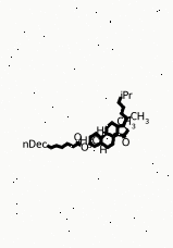 CCCCCCCCCCCCCCCC(=O)O[C@H]1CC[C@@]2(C)[C@@H](CCC3=C4C(=O)C[C@H]([C@H](C)CCCC(C)C)[C@@]4(C)CC[C@@H]32)C1